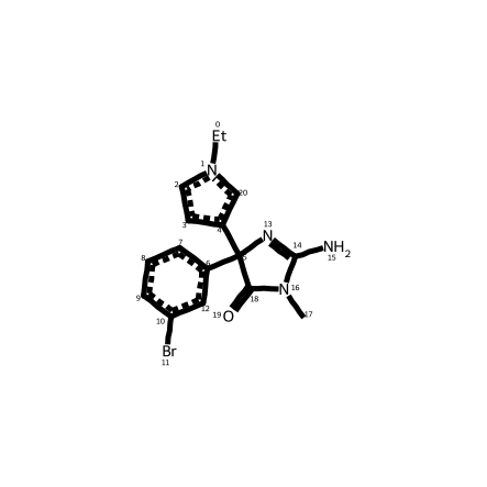 CCn1ccc(C2(c3cccc(Br)c3)N=C(N)N(C)C2=O)c1